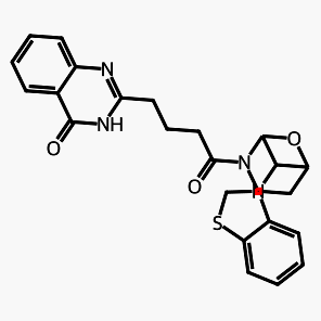 O=C(CCCc1nc2ccccc2c(=O)[nH]1)N1CCC2OC1C2N1CSc2ccccc21